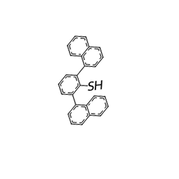 Sc1c(-c2cccc3ccccc23)cccc1-c1cccc2ccccc12